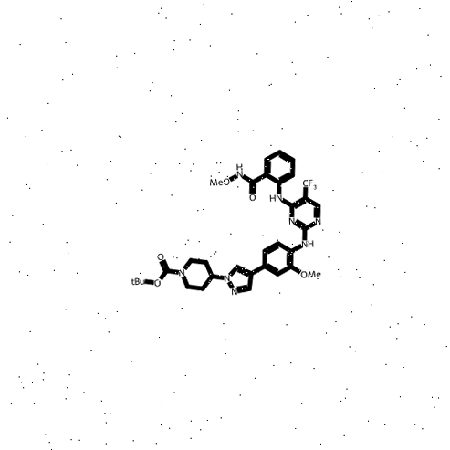 CONC(=O)c1ccccc1Nc1nc(Nc2ccc(-c3cnn(C4CCN(C(=O)OC(C)(C)C)CC4)c3)cc2OC)ncc1C(F)(F)F